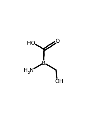 NB(CO)C(=O)O